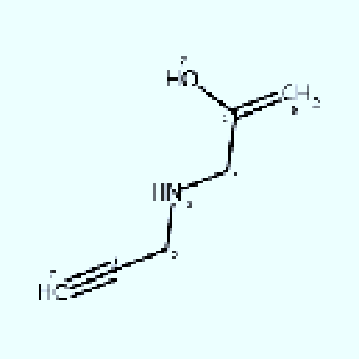 C#CCNCC(=C)O